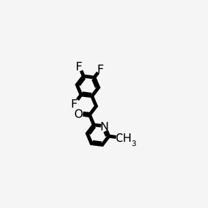 Cc1cccc(C(=O)Cc2cc(F)c(F)cc2F)n1